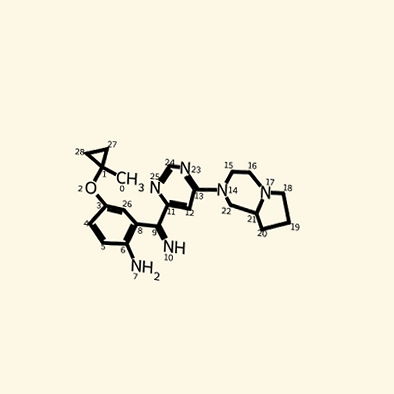 CC1(Oc2ccc(N)c(C(=N)c3cc(N4CCN5CCCC5C4)ncn3)c2)CC1